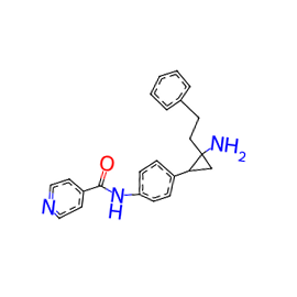 NC1(CCc2ccccc2)CC1c1ccc(NC(=O)c2ccncc2)cc1